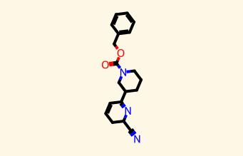 N#CC1CC=CC(C2CCCN(C(=O)OCc3ccccc3)C2)=N1